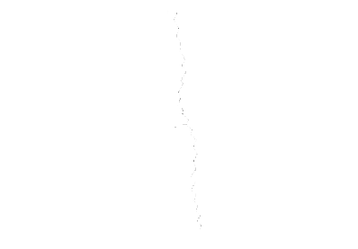 CCCCCCCCCCCCCCCCCC[CH]([Sn])CCCCCCCCCCCCCCCCCC